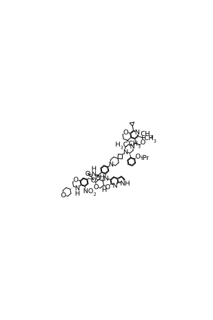 CC(C)Oc1ccccc1[C@@H]1CN([C@@H]2COC(C)(C)c3nc(C4CC4)c4c(c32)C(C)(C)CCO4)CCN1C1CC2(CCN(c3ccc(C(=O)NS(=O)(=O)c4cc5c(c([N+](=O)[O-])c4)N[C@H](C4CCOCC4)CO5)c(N4c5cc6cc[nH]c6nc5O[C@H]5COCC[C@@H]54)c3)CC2)C1